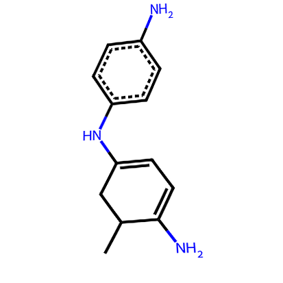 CC1CC(Nc2ccc(N)cc2)=CC=C1N